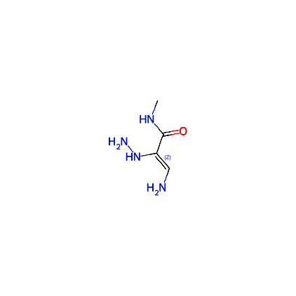 CNC(=O)/C(=C/N)NN